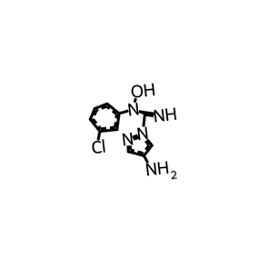 N=C(N(O)c1cccc(Cl)c1)n1cc(N)cn1